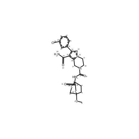 COC12CCC(NC(=O)N3CCn4nc(-c5cccc(Cl)c5)c(C(N)=O)c4C3)(CC1)C(=O)C2